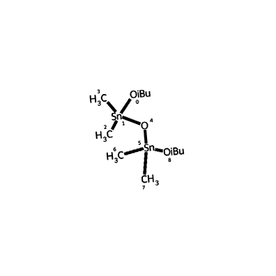 CC(C)C[O][Sn]([CH3])([CH3])[O][Sn]([CH3])([CH3])[O]CC(C)C